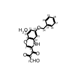 O.O=CC(=O)C(=O)C1=COc2ccc(OCc3ccccc3)cc2N1